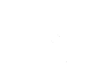 COCCn1nc(C(=O)O)cc1C(F)F